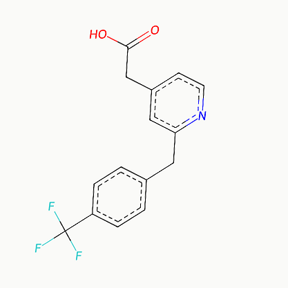 O=C(O)Cc1ccnc(Cc2ccc(C(F)(F)F)cc2)c1